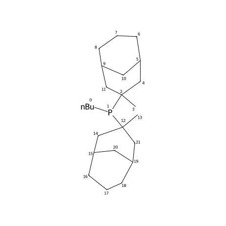 CCCCP(C1(C)CC2CCCC(C2)C1)C1(C)CC2CCCC(C2)C1